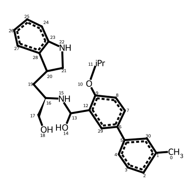 Cc1cccc(-c2ccc(OC(C)C)c(C(O)N[C@@H](CO)CC3CNc4ccccc43)c2)c1